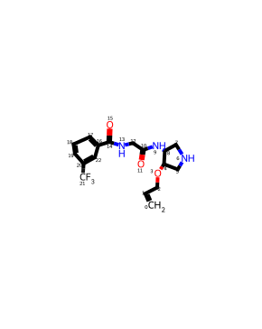 C=CCOC1CNCC1NC(=O)CNC(=O)c1cccc(C(F)(F)F)c1